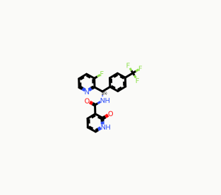 O=C(N[C@@H](c1ccc(C(F)(F)F)cc1)c1ncccc1F)c1ccc[nH]c1=O